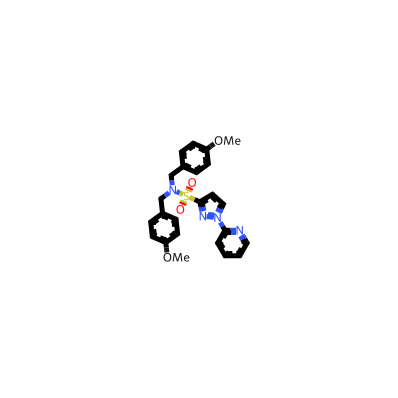 COc1ccc(CN(Cc2ccc(OC)cc2)S(=O)(=O)c2ccn(-c3ccccn3)n2)cc1